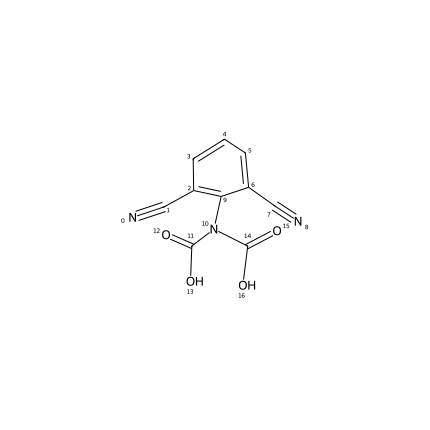 N#Cc1cccc(C#N)c1N(C(=O)O)C(=O)O